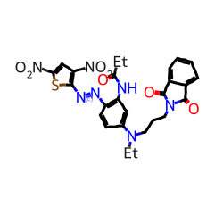 CCC(=O)Nc1cc(N(CC)CCCN2C(=O)c3ccccc3C2=O)ccc1/N=N/c1sc([N+](=O)[O-])cc1[N+](=O)[O-]